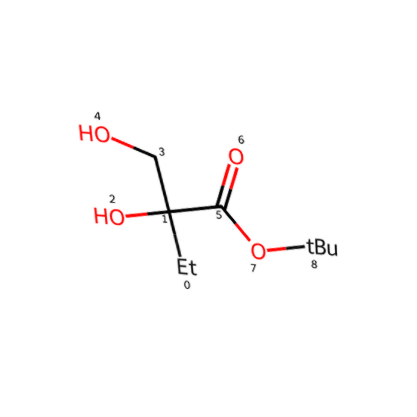 CCC(O)(CO)C(=O)OC(C)(C)C